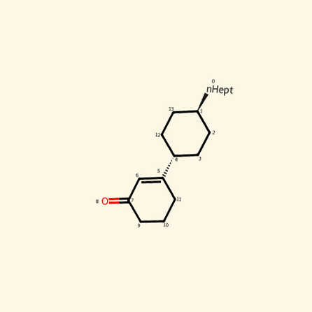 CCCCCCC[C@H]1CC[C@H](C2=CC(=O)CCC2)CC1